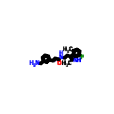 Cc1[nH]c2c(F)ccc(C)c2c1CCNC(=O)/C=C/c1cccc(CN)c1